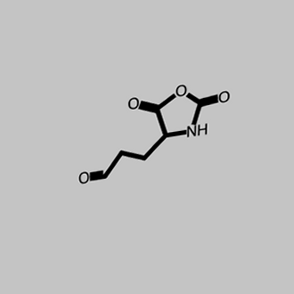 O=CCCC1NC(=O)OC1=O